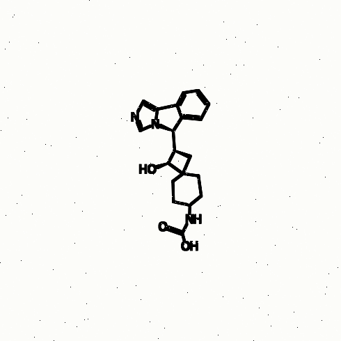 O=C(O)NC1CCC2(CC1)C[C@H]([C@@H]1c3ccccc3-c3cncn31)[C@@H]2O